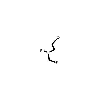 CC(C)CN(CC[O])C(C)C